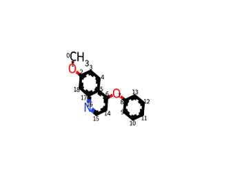 COc1ccc2c(Oc3ccccc3)ccnc2c1